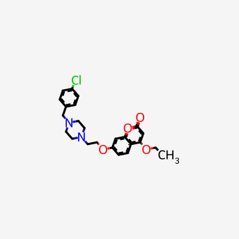 CCOc1cc(=O)oc2cc(OCCN3CCN(Cc4ccc(Cl)cc4)CC3)ccc12